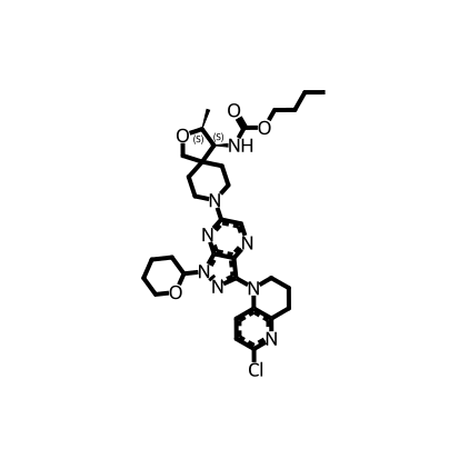 CCCCOC(=O)N[C@@H]1[C@H](C)OCC12CCN(c1cnc3c(N4CCCc5nc(Cl)ccc54)nn(C4CCCCO4)c3n1)CC2